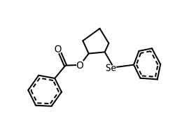 O=C(OC1CCCC1[Se]c1ccccc1)c1ccccc1